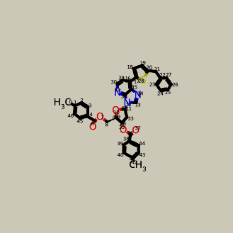 Cc1ccc(C(=O)OC[C@H]2O[C@@H](n3cnc4c(-c5ccc(Cc6ccccc6)s5)ccnc43)C[C@@H]2OC(=O)c2ccc(C)cc2)cc1